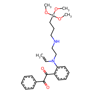 C=CN(CCNCCC[Si](OC)(OC)OC)c1ccccc1C(=O)C(=O)c1ccccc1